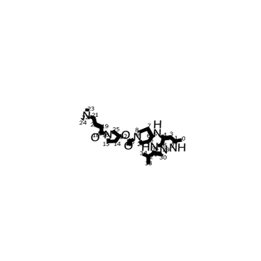 CC(=N)/C=C(/NC1CCN(C(=O)OC2CCN(C(=O)/C=C/CN(C)C)C2)CC1)c1ncc(C(C)C)[nH]1